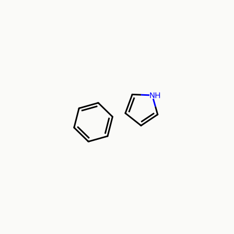 c1cc[nH]c1.c1ccccc1